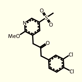 COc1ncc(S(C)(=O)=O)cc1CC(=O)Cc1ccc(Cl)c(Cl)c1